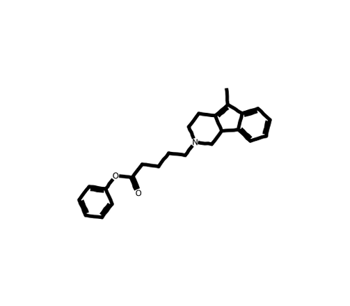 CC1=C2CCN(CCCCC(=O)Oc3ccccc3)CC2c2ccccc21